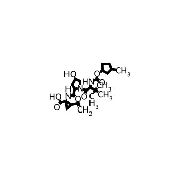 C=CC1C[C@]1(NC(=O)C1C[C@@H](O)CN1C(=O)C(NC(=O)OC1CCC(C)C1)C(C)(C)C)C(=O)O